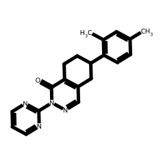 Cc1ccc(C2CCc3c(cnn(-c4nc[c]cn4)c3=O)C2)c(C)c1